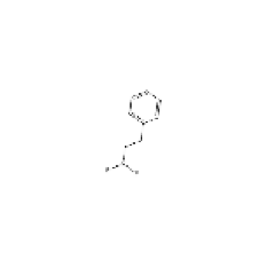 FN(F)CCc1ccccc1